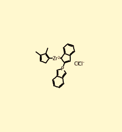 CC1=CC[C]([Zr+2][CH]2C(p3cc4ccccc4c3)=Cc3ccccc32)=C1C.[Cl-].[Cl-]